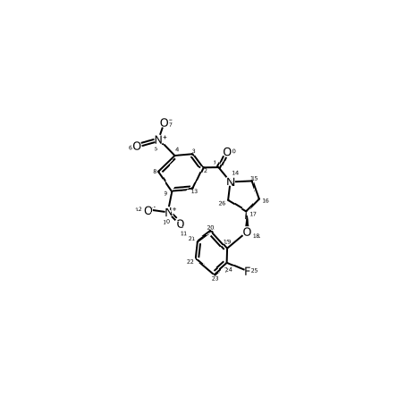 O=C(c1cc([N+](=O)[O-])cc([N+](=O)[O-])c1)N1CC[C@@H](Oc2ccccc2F)C1